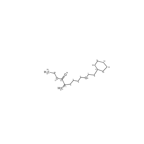 C=C(CCCCOCCC1CCCCC1)C(=O)OCC